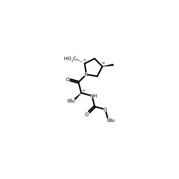 C[C@@H]1C[C@@H](C(=O)O)N(C(=O)[C@@H](NC(=O)OC(C)(C)C)C(C)(C)C)C1